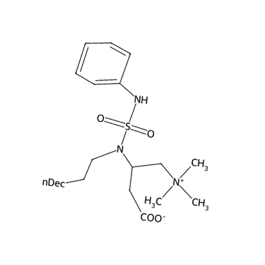 CCCCCCCCCCCCN(C(CC(=O)[O-])C[N+](C)(C)C)S(=O)(=O)Nc1ccccc1